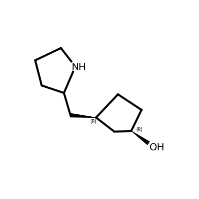 O[C@@H]1CC[C@H](CC2CCCN2)C1